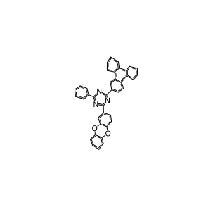 c1ccc(-c2nc(-c3ccc4c(c3)Oc3ccccc3O4)nc(-c3ccc4c5ccccc5c5ccccc5c4c3)n2)cc1